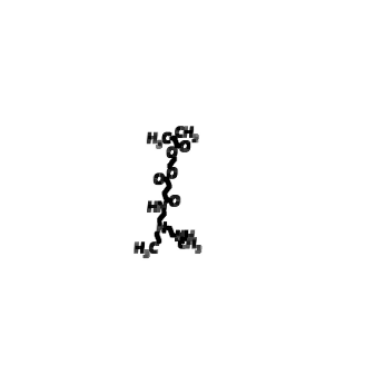 C=C(C)C(=O)OCCOC(=O)CCC(=O)NCCN(CCC)CCNC